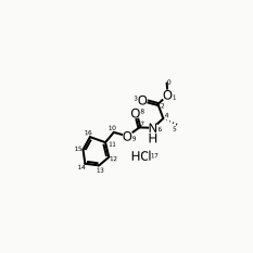 COC(=O)[C@H](C)NC(=O)OCc1ccccc1.Cl